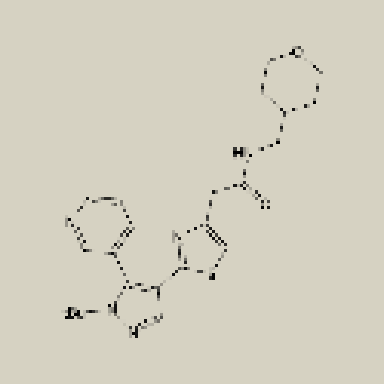 CC(C)(C)n1ncc(-c2nc(CC(=O)NCC3CCOCC3)cs2)c1-c1cccnc1